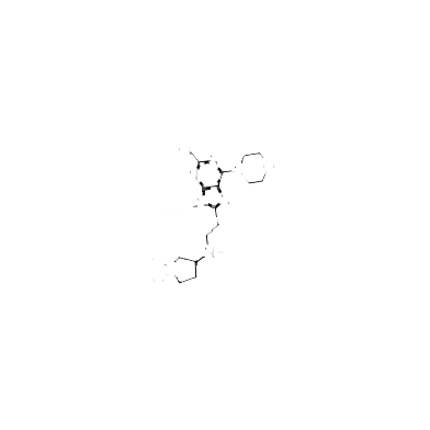 Cn1c(CCNC2CCS(=O)(=O)C2)nc2c(N3CCOCC3)nc(Cl)nc21